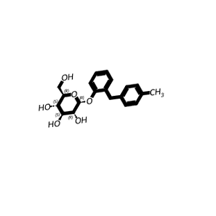 Cc1ccc(Cc2ccccc2O[C@H]2O[C@H](CO)[C@@H](O)[C@H](O)[C@H]2O)cc1